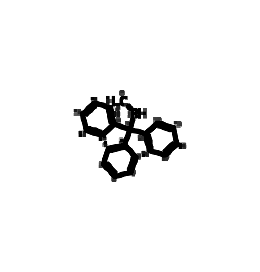 CBC(c1ccccc1)(c1ccccc1)c1ccccc1